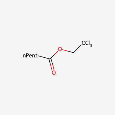 CCCCCC(=O)OCC(Cl)(Cl)Cl